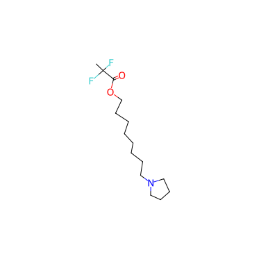 CC(F)(F)C(=O)OCCCCCCCCN1CCCC1